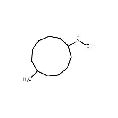 CNC1CCCCCC(C)CCCC1